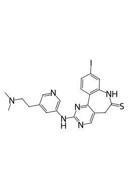 CN(C)CCc1cncc(Nc2ncc3c(n2)-c2ccc(I)cc2NC(=S)C3)c1